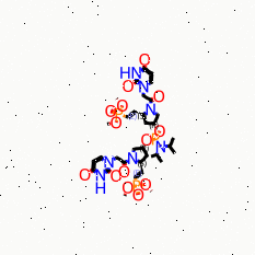 COP(=O)(/C=C/[C@@H]1C[C@@H](OP(O[C@@H]2C[C@@H](/C=C/P(=O)(OC)OC)N(C(=O)Cn3ccc(=O)[nH]c3=O)C2)N(C(C)C)C(C)C)CN1C(=O)Cn1ccc(=O)[nH]c1=O)OC